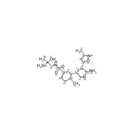 Cc1cc(-c2cc(-c3cc(S(=O)(=O)NCC(C)(O)[SiH3])ccc3C)cnc2N)on1